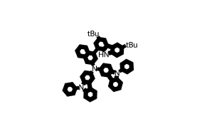 CC(C)(C)c1ccc2[nH]c3c(-c4cc(N(c5ccc6c(c5)c5ccccc5n6-c5ccccc5)c5ccc6c(c5)c5ccccc5n6-c5ccccc5)cc5ccccc45)cc(C(C)(C)C)cc3c2c1